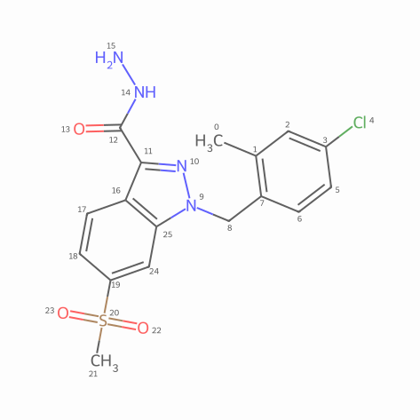 Cc1cc(Cl)ccc1Cn1nc(C(=O)NN)c2ccc(S(C)(=O)=O)cc21